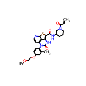 C=CC(=O)N1CCCC(NC(=O)c2sc3nccc4c3c2NC(=O)N4c2ccc(OCCOC(C)C)cc2C)C1